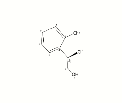 OC[C@H](Cl)c1ccccc1Cl